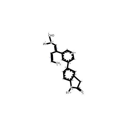 C/C=C\C(=C/N(C=O)C(C)C)c1cncc(-c2ccc3c(c2)CC(=O)N3CC)c1